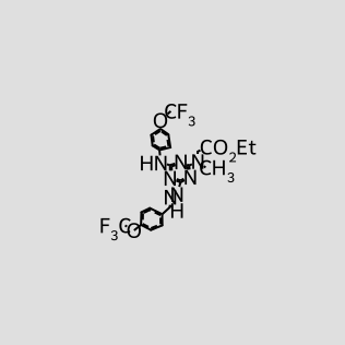 CCOC(=O)CN(C)c1nc(N/N=C/c2ccc(OC(F)(F)F)cc2)nc(Nc2ccc(OC(F)(F)F)cc2)n1